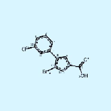 O=C(O)c1cc(-c2cccc(Cl)c2)c(Br)s1